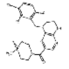 CP1(=O)CCN(C(=O)c2cnc3c(n2)N(Cc2c(F)ccc(Cl)c2Cl)CCN3)CC1